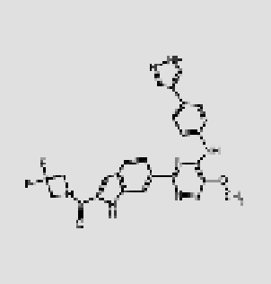 COc1cnc(-c2ccc3cc(C(=O)N4CC(F)(F)C4)[nH]c3c2)nc1Nc1ccc(-c2cn[nH]c2)cc1